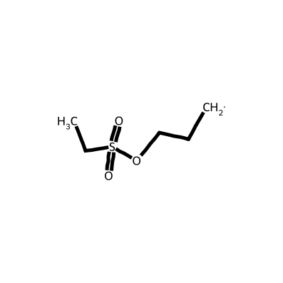 [CH2]CCOS(=O)(=O)CC